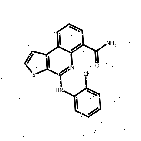 NC(=O)c1cccc2c1nc(Nc1ccccc1Cl)c1sccc12